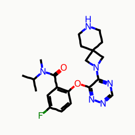 CC(C)N(C)C(=O)c1cc(F)ccc1Oc1nncnc1N1CC2(CCNCC2)C1